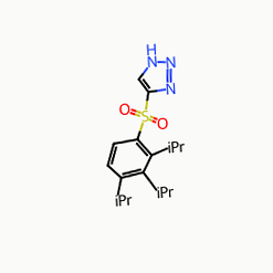 CC(C)c1ccc(S(=O)(=O)c2c[nH]nn2)c(C(C)C)c1C(C)C